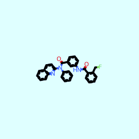 O=C(Nc1cccc(C(=O)N(c2ccccc2)c2ccc3ccccc3n2)c1)c1ccccc1CF